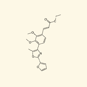 CCOC(=O)C=Cc1ccc(-c2nc(-c3ccco3)oc2C)c(OC)c1OC